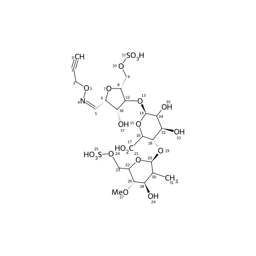 C#CCO/N=C\[C@@H]1O[C@H](COS(=O)(=O)O)C(O[C@@H]2OC(C(=O)O)[C@@H](O[C@@H]3OC(COS(=O)(=O)O)[C@@H](OC)[C@H](O)C3C)[C@H](O)C2O)[C@@H]1O